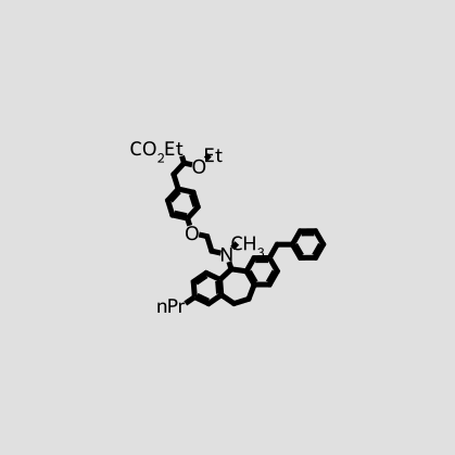 CCCc1ccc2c(c1)CCc1ccc(Cc3ccccc3)cc1C2N(C)CCOc1ccc(CC(OCC)C(=O)OCC)cc1